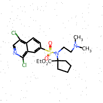 CCOC(=O)C1(N(CCN(C)C)S(=O)(=O)c2ccc3c(Cl)cnc(Cl)c3c2)CCCC1